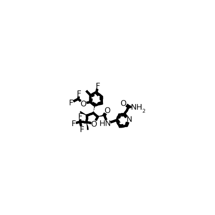 Cc1c(F)ccc([C@@H]2[C@@H](C(=O)Nc3ccnc(C(N)=O)c3)O[C@](C)(C(F)(F)F)[C@H]2C)c1OC(F)F